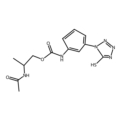 CC(=O)NC(C)COC(=O)Nc1cccc(-n2nnnc2S)c1